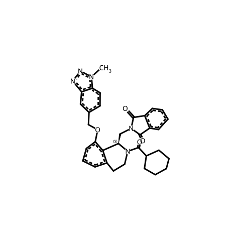 Cn1nnc2cc(COc3cccc4c3[C@@H](CN3C(=O)c5ccccc5C3=O)N(C(=O)C3CCCCC3)CC4)ccc21